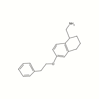 NCC1CCCc2cc(OCCc3ccccc3)ccc21